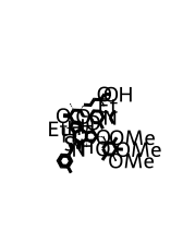 CC[C@@H](CCC[C@H](O[C@H]1CC[C@H](N(C)C)C(C)O1)[C@@H](C)C(=O)C1=C[C@H]2[C@@H]3C[C@H](O[C@@H]4OC(C)[C@H](OC)C(OC)C4OC)C[C@H]3c3nc(-c4cccc(C)c4)sc3[C@H]2[C@@H]1CC)OO